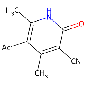 CC(=O)c1c(C)[nH]c(=O)c(C#N)c1C